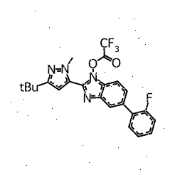 Cn1nc(C(C)(C)C)cc1-c1nc2cc(-c3ccccc3F)ccc2n1OC(=O)C(F)(F)F